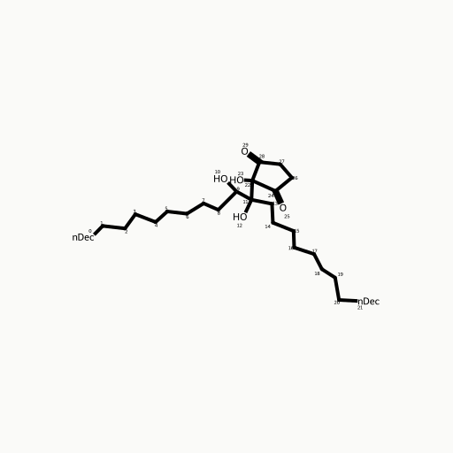 CCCCCCCCCCCCCCCCCCC(O)C(O)(CCCCCCCCCCCCCCCCCC)C1(O)C(=O)CCC1=O